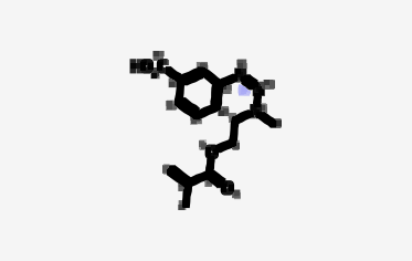 C=C(C)C(=O)OCCN(C)/N=N\c1cccc(C(=O)O)c1